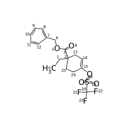 CCC1(C(=O)OCc2ccccc2)CC=C(OS(=O)(=O)C(F)(F)F)CC1